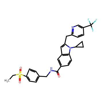 CCS(=O)(=O)c1ccc(CNC(=O)c2ccc3c(c2)cc(Cc2ccc(C(F)(F)F)cn2)n3C2CC2)cc1